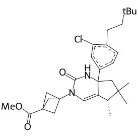 COC(=O)C12CC(N3C=C4[C@@H](C)C(C)(C)CC4(c4ccc(CCC(C)(C)C)c(Cl)c4)NC3=O)(C1)C2